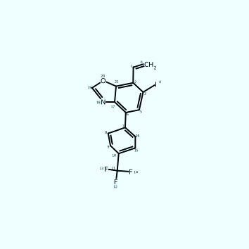 C=Cc1c(I)cc(-c2ccc(C(F)(F)F)cc2)c2ncoc12